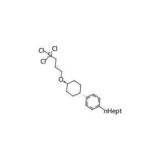 CCCCCCCc1ccc([C@H]2CC[C@H](OCCC[Si](Cl)(Cl)Cl)CC2)cc1